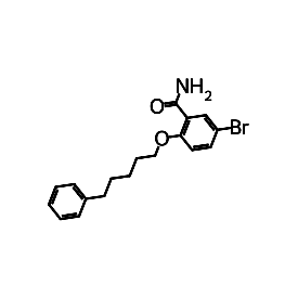 NC(=O)c1cc(Br)ccc1OCCCCCc1ccccc1